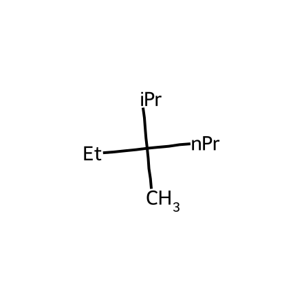 [CH2]CCC(C)(CC)C(C)C